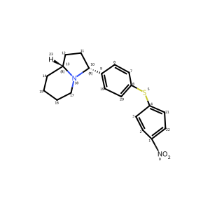 O=[N+]([O-])c1ccc(Sc2ccc([C@H]3CC[C@H]4CCCCN43)cc2)cc1